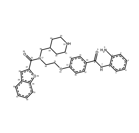 Nc1ccccc1NC(=O)c1ccc(OCCN(CC2CCNCC2)C(=O)c2cc3ccccc3o2)cc1